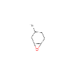 [3H]C1CCC2OC2C1